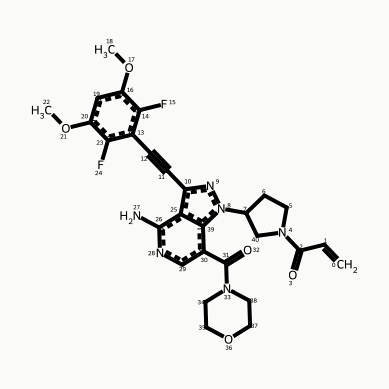 C=CC(=O)N1CCC(n2nc(C#Cc3c(F)c(OC)cc(OC)c3F)c3c(N)ncc(C(=O)N4CCOCC4)c32)C1